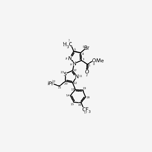 COC(=O)c1c(Br)c(C)nn1-c1nc(-c2ccc(C(F)(F)F)cc2)c(CC(C)C)s1